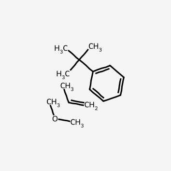 C=CC.CC(C)(C)c1ccccc1.COC